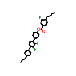 CCCCc1ccc(C(=O)Oc2ccc(-c3ccc(-c4ccc(CCC)cc4)c(F)c3F)cc2)cc1F